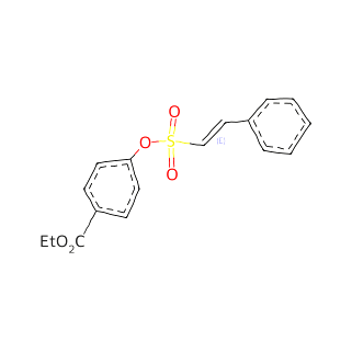 CCOC(=O)c1ccc(OS(=O)(=O)/C=C/c2ccccc2)cc1